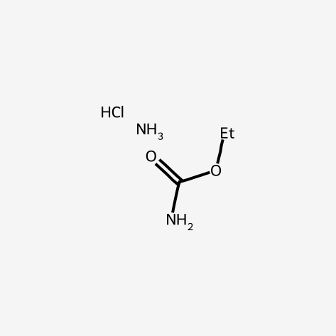 CCOC(N)=O.Cl.N